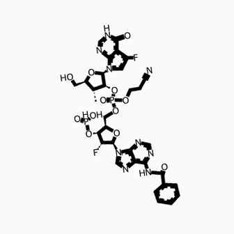 C[C@H]1[C@@H](OP(=O)(OCCC#N)OC[C@H]2O[C@@H](n3cnc4c(NC(=O)c5ccccc5)ncnc43)[C@H](F)[C@@H]2O[PH](=O)O)[C@H](n2cc(F)c3c(=O)[nH]cnc32)O[C@@H]1CO